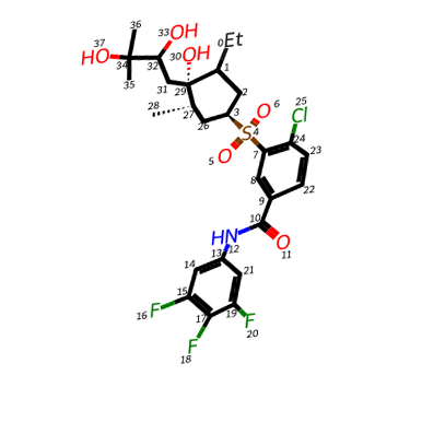 CCC1C[C@@H](S(=O)(=O)c2cc(C(=O)Nc3cc(F)c(F)c(F)c3)ccc2Cl)C[C@H](C)[C@@]1(O)CC(O)C(C)(C)O